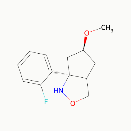 CO[C@H]1CC2CON[C@@]2(c2ccccc2F)C1